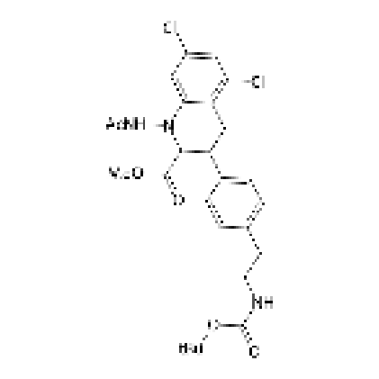 COC(=O)C1C(c2ccc(CCNC(=O)OC(C)(C)C)cc2)Cc2c(Cl)cc(Cl)cc2N1NC(C)=O